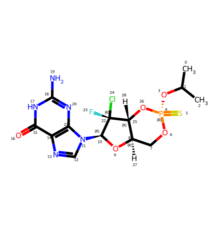 CC(C)O[P@]1(=S)OC[C@H]2O[C@@H](n3cnc4c(=O)[nH]c(N)nc43)[C@](F)(Cl)[C@@H]2O1